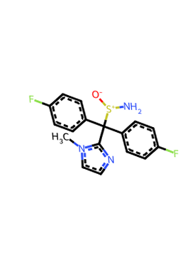 Cn1ccnc1C(c1ccc(F)cc1)(c1ccc(F)cc1)[S+](N)[O-]